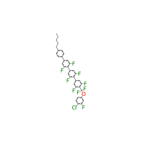 CCCCCc1ccc(-c2cc(F)c(-c3cc(F)c(-c4cc(F)c(C(F)(F)Oc5ccc(Cl)c(F)c5)c(F)c4)c(F)c3)c(F)c2)cc1